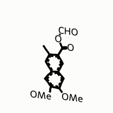 COc1cc2cc(C)c(C(=O)OC=O)cc2cc1OC